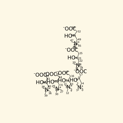 C[N+](C)(C)CC(O)CC(=O)[O-].C[N+](C)(C)CC(O)CC(=O)[O-].C[N+](C)(C)CC(O)CC(=O)[O-].C[N+](C)(C)CC(O)CC(=O)[O-].C[N+](C)(C)CC(O)CC(=O)[O-].C[N+](C)(C)CC(O)CC(=O)[O-]